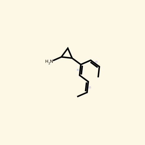 C\C=C/C=C(\C=C/C)C1CC1N